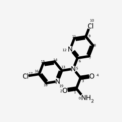 NC(=O)C(=O)N(c1ccc(Cl)cn1)c1ccc(Cl)cn1